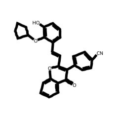 N#Cc1ccc(-c2c(/C=C/c3cccc(O)c3OC3CCCC3)oc3ccccc3c2=O)cc1